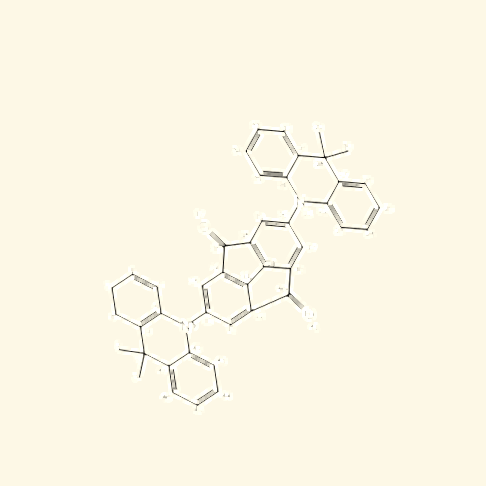 CC1(C)C2=C(C=CCC2)N(c2cc3c4c(c2)c(=O)c2cc(N5c6ccccc6C(C)(C)c6ccccc65)cc(c2-4)c3=O)c2ccccc21